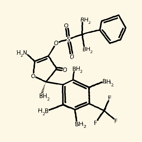 Bc1c(B)c([C@@]2(B)OC(N)=C(OS(=O)(=O)C(B)(B)c3ccccc3)C2=O)c(B)c(B)c1C(F)(F)F